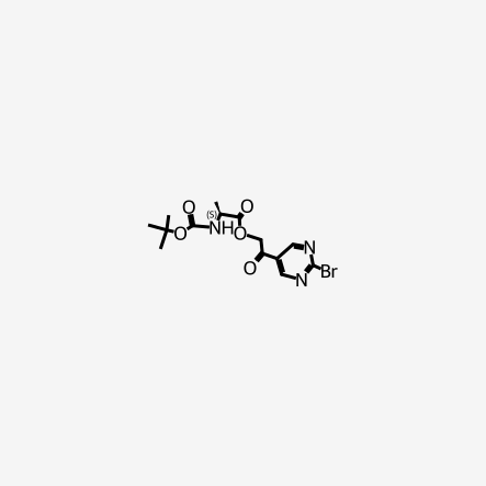 C[C@H](NC(=O)OC(C)(C)C)C(=O)OCC(=O)c1cnc(Br)nc1